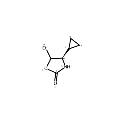 CCC1OC(=O)N[C@@H]1C1CC1